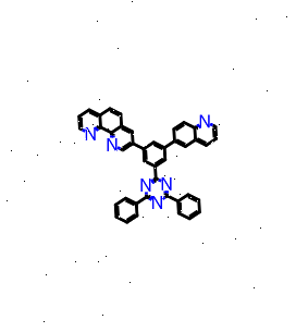 c1ccc(-c2nc(-c3ccccc3)nc(-c3cc(-c4ccc5ncccc5c4)cc(-c4cnc5c(ccc6cccnc65)c4)c3)n2)cc1